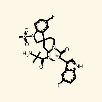 CC(C)(N)C(=O)NC[C@H](C(=O)N1CCC2(CC1)CN(S(C)(=O)=O)c1ccc(F)cc12)c1c[nH]c2ccc(F)cc12